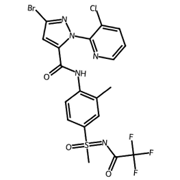 Cc1cc(S(C)(=O)=NC(=O)C(F)(F)F)ccc1NC(=O)c1cc(Br)nn1-c1ncccc1Cl